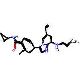 C=Cc1cc(NCCC(F)(F)F)c2ncc(-c3ccc(C(=O)NC4CC4)c(C)c3)n2c1